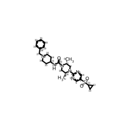 C[C@@H]1CN(c2ncc(S(=O)(=O)C3CC3)cn2)[C@@H](C)CN1C(=O)NC1CCN(Cc2ccccc2)CC1